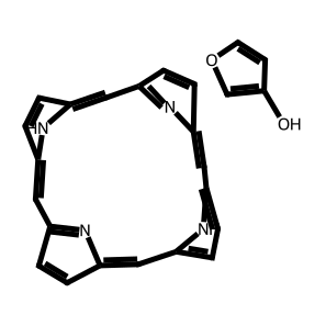 C1=Cc2cc3ccc(cc4nc(cc5ccc(cc1n2)[nH]5)C=C4)[nH]3.Oc1ccoc1